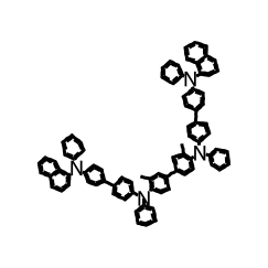 Cc1cc(-c2ccc(N(c3ccccc3)c3ccc(-c4ccc(N(c5ccccc5)c5cccc6ccccc56)cc4)cc3)c(C)c2)ccc1N(c1ccccc1)c1ccc(-c2ccc(N(c3ccccc3)c3cccc4ccccc34)cc2)cc1